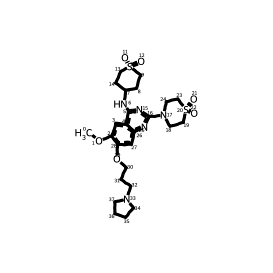 COc1cc2c(NC3CCS(=O)(=O)CC3)nc(N3CCS(=O)(=O)CC3)nc2cc1OCCCN1CCCC1